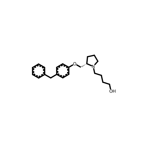 OCCCCN1CCC[C@H]1COc1ccc(Cc2ccccc2)cc1